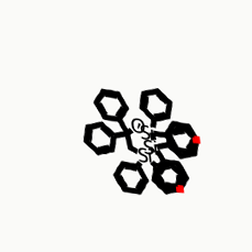 c1ccc(C2(c3ccccc3)C[Si](c3ccccc3)(c3ccccc3)[Si](c3ccccc3)(c3ccccc3)[Si](c3ccccc3)(c3ccccc3)O2)cc1